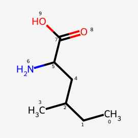 CCC(C)CC(N)C(=O)O